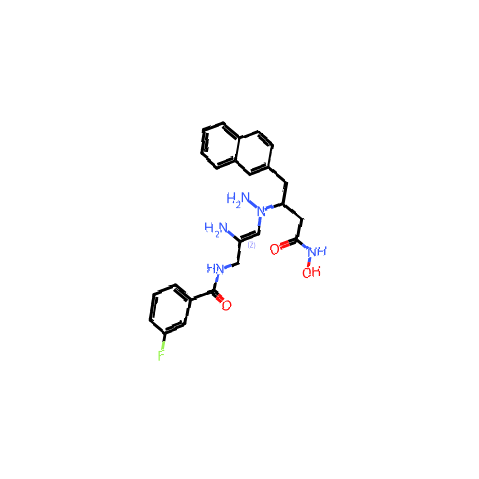 N/C(=C\N(N)C(CC(=O)NO)Cc1ccc2ccccc2c1)CNC(=O)c1cccc(F)c1